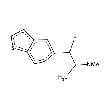 CNC(C)C(F)c1ccc2sccc2c1